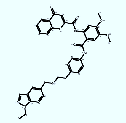 CCn1ncc2cc(CNCCc3ccc(NC(=O)c4cc(OC)c(OC)cc4NC(=O)c4cc(=O)c5ccccc5o4)cc3)ccc21